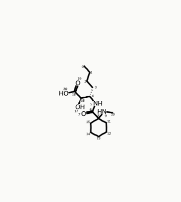 CCCC[C@H](NC(=O)C1(NC)CCCCC1)[C@@H](O)C(=O)O